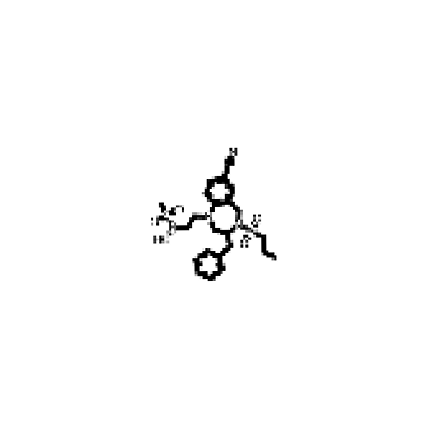 CCCS(=O)(=O)N1Cc2cc(C#N)ccc2N(CCN(O)S(C)(=O)=O)CC1Cc1ccccc1